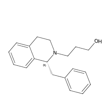 OCCCN1CCc2ccccc2[C@H]1Cc1ccccc1